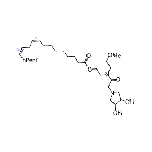 CCCCC/C=C\C/C=C\CCCCCCCC(=O)OCCN(CCOC)C(=O)CN1CC(O)C(O)C1